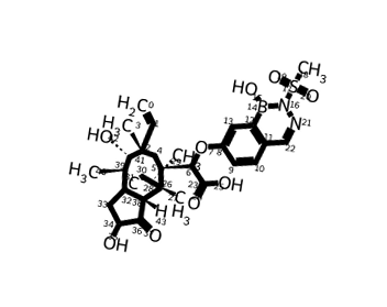 C=C[C@]1(C)C[C@@H](C(Oc2ccc3c(c2)B(O)N(S(C)(=O)=O)N=C3)C(=O)O)[C@@]2(C)[C@H](C)CC[C@]3(CC(O)C(=O)[C@H]32)[C@@H](C)[C@@H]1O